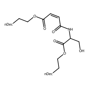 CCCCCCCCCCCCOC(=O)/C=C\C(=O)NC(CO)C(=O)OCCCCCCCCCCCC